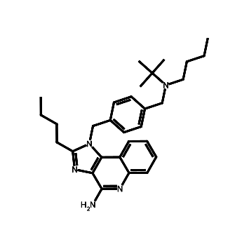 CCCCc1nc2c(N)nc3ccccc3c2n1Cc1ccc(CN(CCCC)C(C)(C)C)cc1